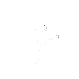 CCCC[C@H]1CC[C@H](c2cc(-c3ccc(OC)cc3)cc(C#N)c2C#N)CC1